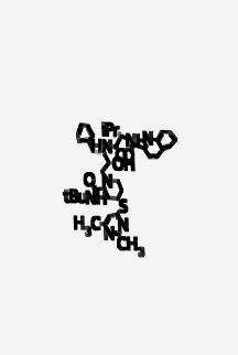 Cc1cc(S[C@@H]2CCN(C[C@@H](O)[C@H](Cc3ccccc3)NC(=O)[C@@H](NC(=O)c3ccc4ccccc4n3)C(C)C)C(C(=O)NC(C)(C)C)C2)nc(C)n1